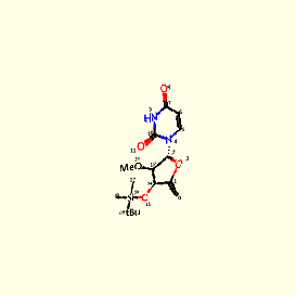 C=C1O[C@@H](n2ccc(=O)[nH]c2=O)[C@H](OC)C1O[Si](C)(C)C(C)(C)C